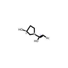 CC(=O)/C=C(\O)N1CC[C@H](O)C1